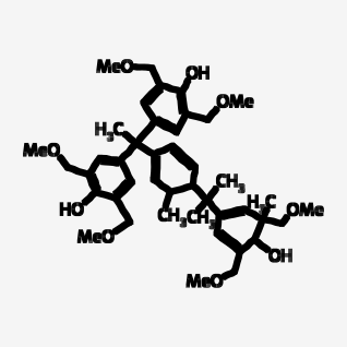 COCC1=CC(C(C)(C)C2C=CC(C(C)(c3cc(COC)c(O)c(COC)c3)c3cc(COC)c(O)c(COC)c3)=CC2C)=CC(C)(COC)C1O